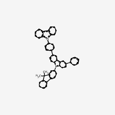 CC1(C)c2ccccc2-c2ccc(-n3c4ccc(-c5ccccc5)cc4c4cc(-c5ccc(-n6c7ccccc7c7ccccc76)cc5)ccc43)cc21